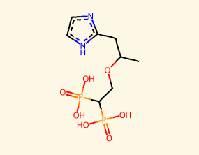 CC(Cc1ncc[nH]1)OCC(P(=O)(O)O)P(=O)(O)O